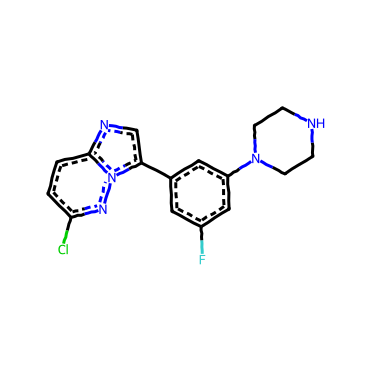 Fc1cc(-c2cnc3ccc(Cl)nn23)cc(N2CCNCC2)c1